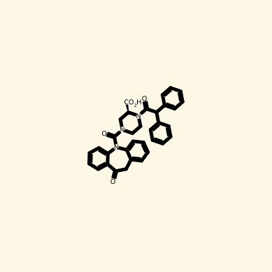 O=C1Cc2ccccc2N(C(=O)N2CCN(C(=O)C(c3ccccc3)c3ccccc3)[C@H](C(=O)O)C2)c2ccccc21